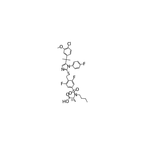 CCCCN([C@@H](C)C(=O)O)S(=O)(=O)c1cc(F)c(CSc2ncc(C(C)(C)c3ccc(Cl)c(OC)c3)n2-c2ccc(F)cc2)c(F)c1